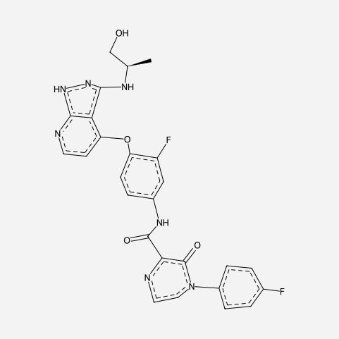 C[C@H](CO)Nc1n[nH]c2nccc(Oc3ccc(NC(=O)c4nccn(-c5ccc(F)cc5)c4=O)cc3F)c12